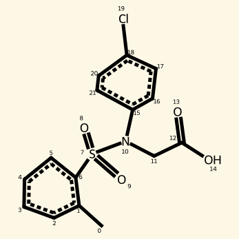 Cc1ccccc1S(=O)(=O)N(CC(=O)O)c1ccc(Cl)cc1